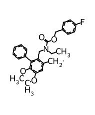 [CH2]c1cc(OC)c(OC)c(-c2ccccc2)c1CN(CC)C(=O)OCc1ccc(F)cc1